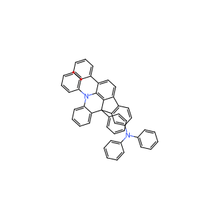 c1ccc(-c2ccc3c4c2N(c2ccccc2)c2ccccc2C4(c2ccccc2)c2cc(N(c4ccccc4)c4ccccc4)ccc2-3)cc1